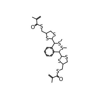 C=C(C)C(=O)SCC1CSC(C(SC)c2ccccc2C(SC)C2SCC(CSC(=O)C(=C)C)S2)S1